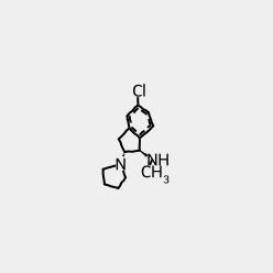 CN[C@@H]1c2ccc(Cl)cc2C[C@H]1N1CCCC1